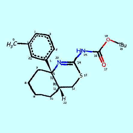 Cc1cccc([C@]23CCCC[C@H]2CSC(NC(=O)OC(C)(C)C)=N3)c1